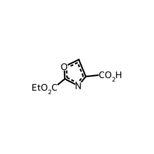 CCOC(=O)c1nc(C(=O)O)co1